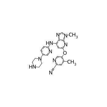 Cc1cc(C#N)ncc1Oc1cc(Nc2ccc(N3CCNCC3)cn2)c2ncn(C)c2n1